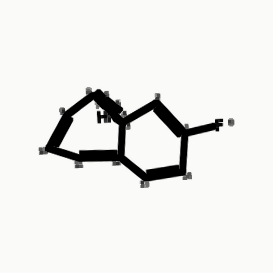 FC1=CC23NC=CC=C2C=CC=C3C=C1